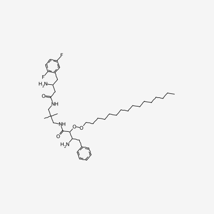 CCCCCCCCCCCCCCCCOOC(C(=O)NCC(C)(C)CNC(=O)CC(N)Cc1cc(F)ccc1F)C(N)Cc1ccccc1